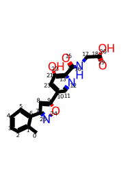 Cc1ccccc1-c1cc(-c2cnc(C(=O)NCC(=O)O)c(O)c2)on1